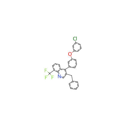 FC(F)(F)c1cccc2c(-c3cccc(Oc4cccc(Cl)c4)c3)c(Cc3ccccc3)cnc12